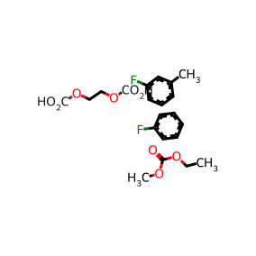 CCOC(=O)OC.Cc1cccc(F)c1.Fc1ccccc1.O=C(O)OCCOC(=O)O